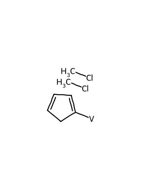 CCl.CCl.[V][C]1=CC=CC1